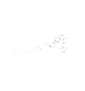 CCCCCCCCCCCCOC(=O)CNC(=O)Oc1ncccc1OCc1ccccc1